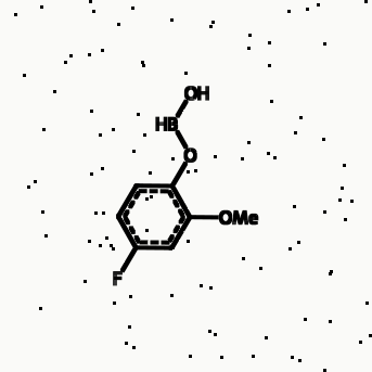 COc1cc(F)ccc1OBO